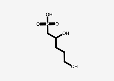 O=S(=O)(O)CC(O)CCCO